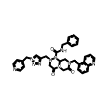 O=C1CN2C(=O)CN(Cc3cn(Cc4ccncc4)nn3)N(C(=O)NCc3ccccc3)C2CN1Cc1cccc2ncccc12